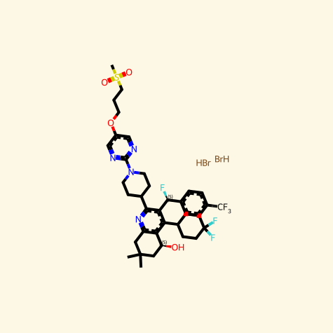 Br.Br.CC1(C)Cc2nc(C3CCN(c4ncc(OCCCS(C)(=O)=O)cn4)CC3)c([C@@H](F)c3ccc(C(F)(F)F)cc3)c(C3CCC(F)(F)CC3)c2[C@@H](O)C1